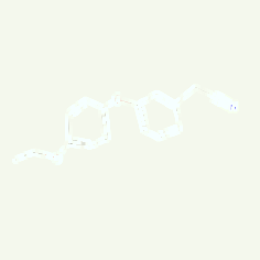 CCOc1ccc(Oc2cccc(CC#N)c2)cc1